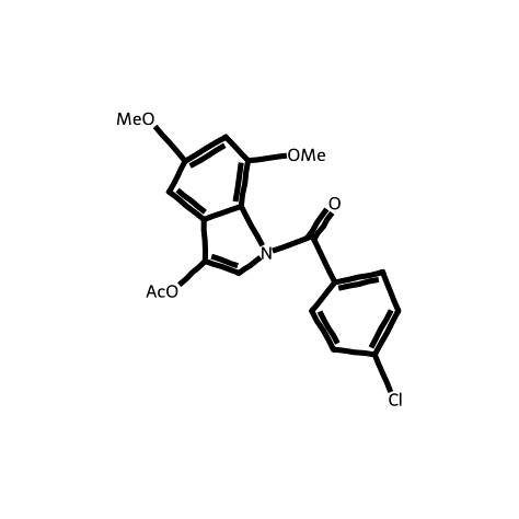 COc1cc(OC)c2c(c1)c(OC(C)=O)cn2C(=O)c1ccc(Cl)cc1